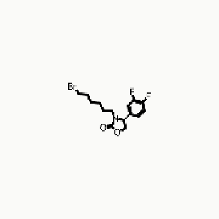 O=C1OC[C@H](c2ccc(F)c(F)c2)N1CCCCCCBr